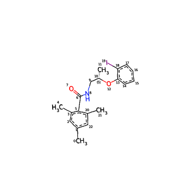 Cc1cc(C)c(C(=O)NC[C@H](C)Oc2ccccc2I)c(C)c1